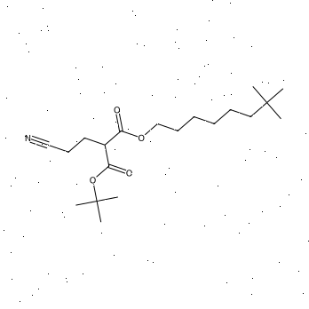 CC(C)(C)CCCCCCOC(=O)C(CCC#N)C(=O)OC(C)(C)C